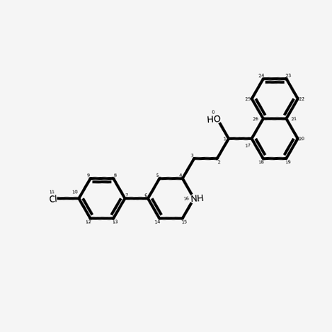 OC(CCC1CC(c2ccc(Cl)cc2)=CCN1)c1cccc2ccccc12